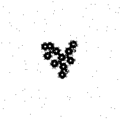 c1ccc(N(c2cc(-c3ccc4c5ccc6ccccc6c5n(-c5ccccc5)c4c3)cc(N(c3ccccc3)c3ccc4sc5ccccc5c4c3)c2)c2ccc3c(c2)sc2ccccc23)cc1